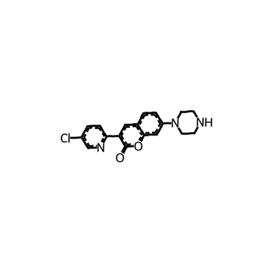 O=c1oc2cc(N3CCNCC3)ccc2cc1-c1ccc(Cl)cn1